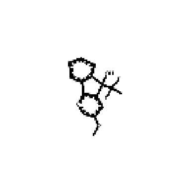 COc1cnc2c(c1)C(O)(C(F)(F)F)c1ccccc1-2